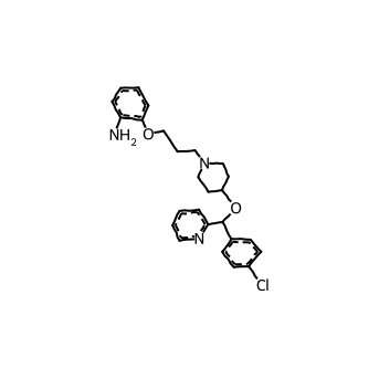 Nc1ccccc1OCCCN1CCC(OC(c2ccc(Cl)cc2)c2ccccn2)CC1